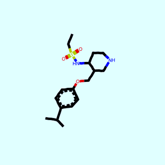 CCS(=O)(=O)NC1CCNCC1COc1ccc(C(C)C)cc1